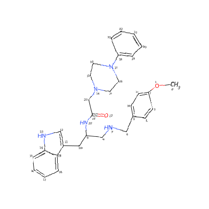 COc1ccc(CNCC(Cc2c[nH]c3ccccc23)NC(=O)CN2CCN(c3ccccc3)CC2)cc1